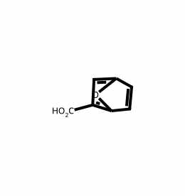 O=C(O)c1cc2ccc1o2